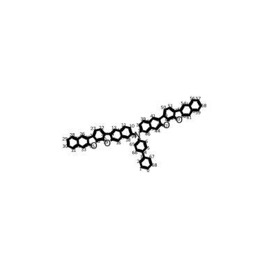 c1ccc(-c2ccc(N(c3ccc4cc5c(cc4c3)oc3c5ccc4c5cc6ccccc6cc5oc43)c3ccc4cc5c(cc4c3)oc3c5ccc4c5cc6ccccc6cc5oc43)cc2)cc1